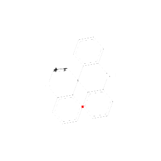 c1ccc2c(c1)Nc1ccccc1C21c2ccccc2Oc2ccccc21